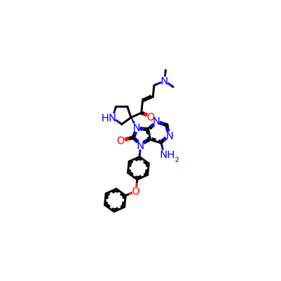 CN(C)C/C=C/C(=O)[C@@]1(n2c(=O)n(-c3ccc(Oc4ccccc4)cc3)c3c(N)ncnc32)CCNC1